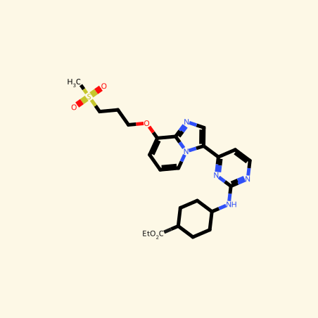 CCOC(=O)C1CCC(Nc2nccc(-c3cnc4c(OCCCS(C)(=O)=O)cccn34)n2)CC1